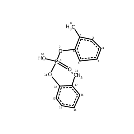 Cc1ccccc1OP(=O)(O)Oc1ccccc1C